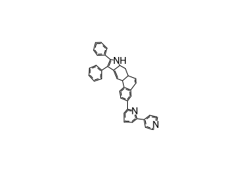 C1=CC2CC3NC(c4ccccc4)=C(c4ccccc4)C3=CC2c2ccc(-c3cccc(-c4ccncc4)n3)cc21